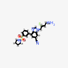 N#Cc1cc(-c2cccc(S(=O)(=O)N3CCCC3)c2)c2ncn(C/C(F)=C/CN)c2c1